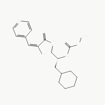 CC(C)(C)OC(=O)N[C@@H](CC1CCCCC1)[C@@H]1CC(=Cc2ccncc2)C(=O)O1